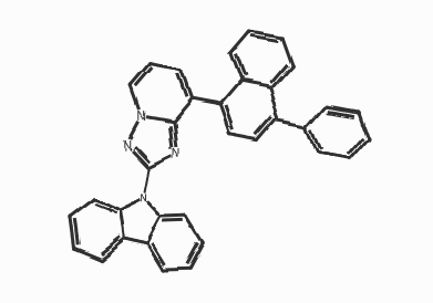 c1ccc(-c2ccc(-c3cccn4nc(-n5c6ccccc6c6ccccc65)nc34)c3ccccc23)cc1